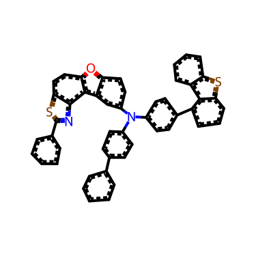 c1ccc(-c2ccc(N(c3ccc(-c4cccc5sc6ccccc6c45)cc3)c3ccc4oc5ccc6sc(-c7ccccc7)nc6c5c4c3)cc2)cc1